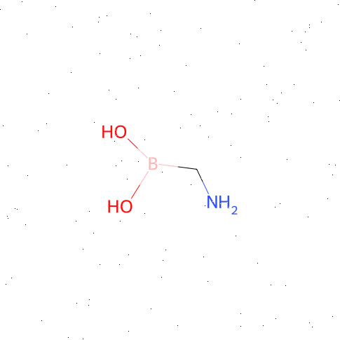 NCB(O)O